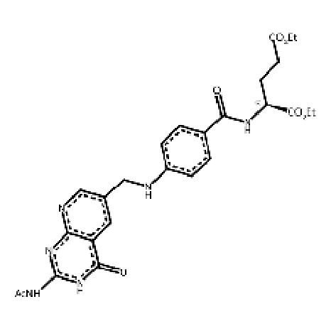 CCOC(=O)CC[C@H](NC(=O)c1ccc(NCc2cnc3nc(NC(C)=O)[nH]c(=O)c3c2)cc1)C(=O)OCC